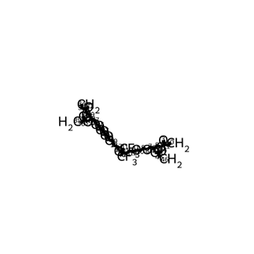 C=CC(=O)OCC(COCCOCCCC(OCCCOOOOOOOCC(COC(=O)C=C)OC(=O)C=C)(C(F)(F)F)C(F)(F)F)OC(=O)C=C